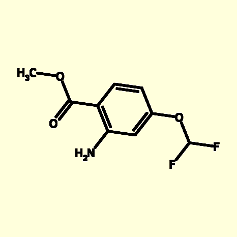 COC(=O)c1ccc(OC(F)F)cc1N